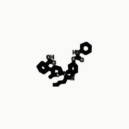 CCCCc1nc2ccc(OC(=O)NC3CCCCC3)cc2n1-c1ccc(-c2ccccc2C(=O)O)c(C)c1